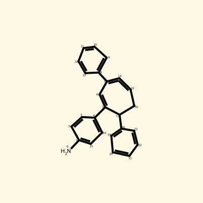 Nc1ccc(C2=CC(c3ccccc3)=C=CCC2c2ccccc2)cc1